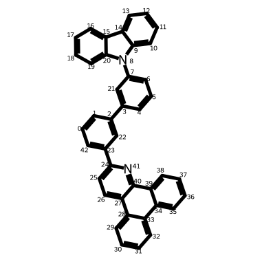 c1cc(-c2cccc(-n3c4ccccc4c4ccccc43)c2)cc(-c2ccc3c4ccccc4c4ccccc4c3n2)c1